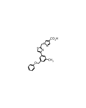 Cc1cc(COc2ccccc2)cc(-c2csc(Cn3cc(C(=O)O)cn3)n2)c1